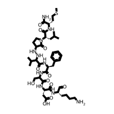 CSCC[C@H](NC(=O)[C@H](CC(C)C)N1CCC(NNC(C(=O)N[C@@H](Cc2ccccc2)C(=O)NC(CO)C(=O)N[C@@H](CC(=O)O)C(=O)N[C@H](C=O)CCCCN)C(C)C)C1=O)C(N)=O